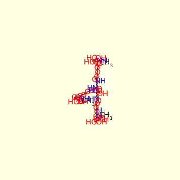 CC(=O)N[C@H]1[C@H](OCCOCCOCCOCC(=O)NCCCCC(NC(=O)COCCOCCOCCO[C@@H]2O[C@H](CO)[C@H](O)[C@H](O)[C@H]2NC(C)=O)C(=O)NC(CCCCNC(=O)COCCOCCOCCO[C@@H]2OC(CO)[C@H](O)C(O)[C@H]2NC(C)=O)C(=O)O)O[C@H](CO)[C@H](O)[C@@H]1O